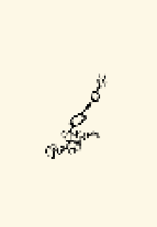 CNC(=O)C(C)(C(=O)NOC1CCCCO1)N(C)C(=O)c1ccc(C#Cc2ccc(C3COC(C)(C)O3)cc2)cc1